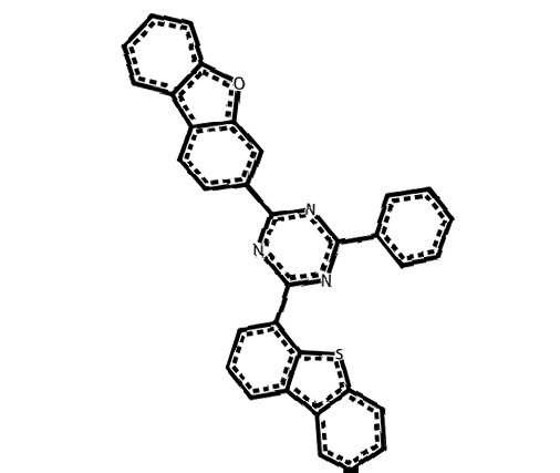 c1ccc(-c2nc(-c3ccc4c(c3)oc3ccccc34)nc(-c3cccc4c3sc3ccccc34)n2)cc1